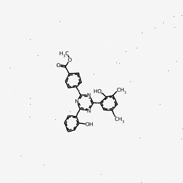 COC(=O)c1ccc(-c2nc(-c3ccccc3O)nc(-c3cc(C)cc(C)c3O)n2)cc1